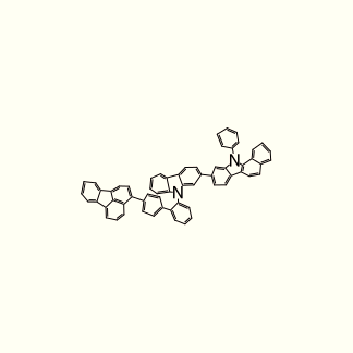 c1ccc(-n2c3cc(-c4ccc5c6ccccc6n(-c6ccccc6-c6ccc(-c7ccc8c9c(cccc79)-c7ccccc7-8)cc6)c5c4)ccc3c3ccc4ccccc4c32)cc1